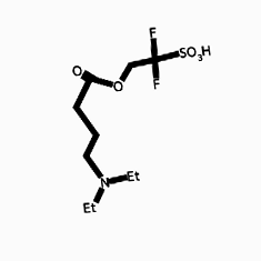 CCN(CC)CCCC(=O)OCC(F)(F)S(=O)(=O)O